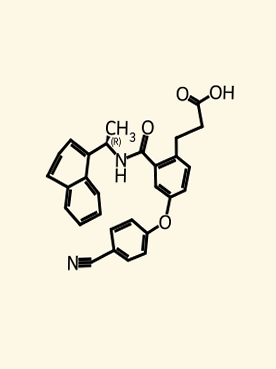 C[C@@H](NC(=O)c1cc(Oc2ccc(C#N)cc2)ccc1CCC(=O)O)c1cccc2ccccc12